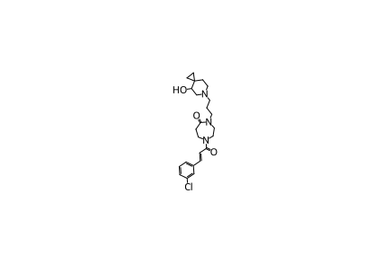 O=C(C=Cc1cccc(Cl)c1)N1CCC(=O)N(CCCN2CCC3(CC3)C(O)C2)CC1